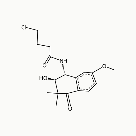 COc1ccc2c(c1)[C@@H](NC(=O)CCCCl)[C@H](O)C(C)(C)C2=O